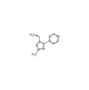 C=Cc1cn(C)nc1-c1ccncc1